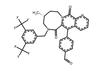 C[C@@H]1CCn2c(c(-c3ccc(C=O)cc3)c3cccnc3c2=O)C(=O)N(Cc2cc(C(F)(F)F)cc(C(F)(F)F)c2)C1